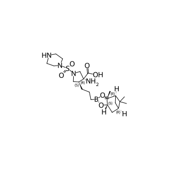 CC1(C)[C@H]2C[C@@H]3OB(CCC[C@H]4CN(S(=O)(=O)N5CCNCC5)C[C@@]4(N)C(=O)O)O[C@]3(C)[C@@H]1C2